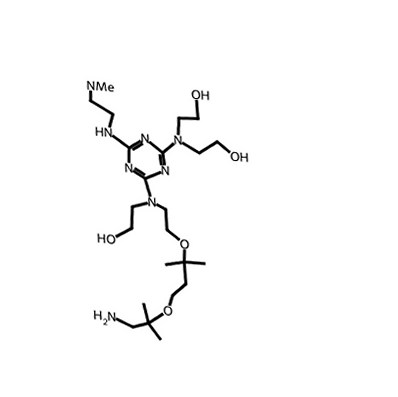 CNCCNc1nc(N(CCO)CCO)nc(N(CCO)CCOC(C)(C)CCOC(C)(C)CN)n1